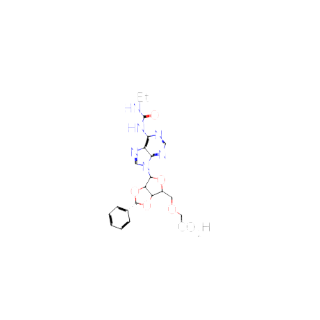 CCNC(=O)Nc1ncnc2c1ncn2C1OC(COCC(=O)O)C2O[C@H](c3ccccc3)OC21